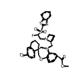 COC(=O)c1ccc2c(c1)N(C[C@@H]1CCN1CC(F)S(=O)(=O)c1nc3ccccc3s1)C[C@@]1(CCCc3cc(Cl)ccc31)CO2